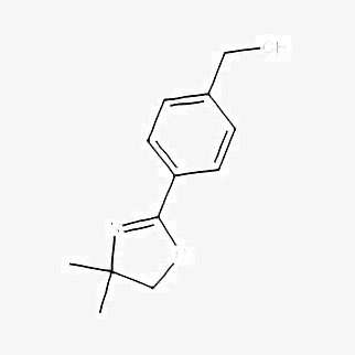 CC1(C)COC(c2ccc(CO)cc2)=N1